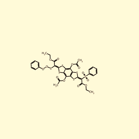 CCOC(=O)C(SOOc1ccccc1)=C1Sc2c(OC(C)=O)c3c(c(OC(C)=O)c2S1)SC(=C(C(=O)OCC)S(=O)(=O)c1ccccc1)S3